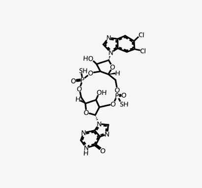 O=c1[nH]cnc2c1ncn2[C@@H]1O[C@@H]2COP(=O)(S)OC3C(O)[C@H](n4cnc5cc(Cl)c(Cl)cc54)O[C@@H]3COP(=O)(S)OC1C2O